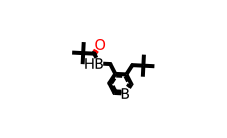 CC(C)(C)Cc1cbccc1CBC(=O)C(C)(C)C